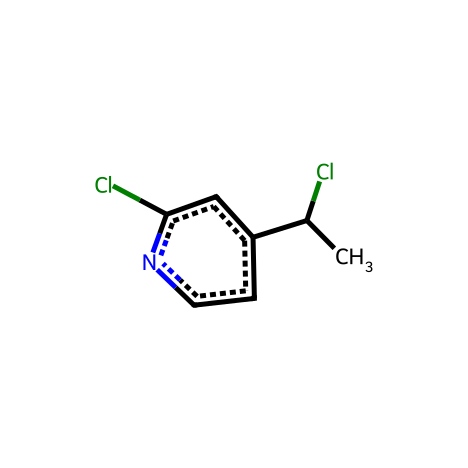 CC(Cl)c1ccnc(Cl)c1